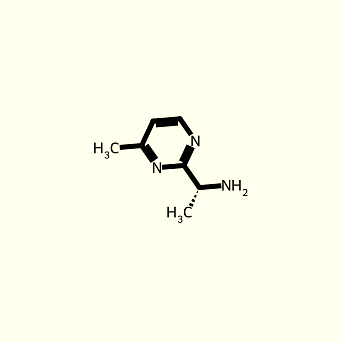 Cc1ccnc([C@@H](C)N)n1